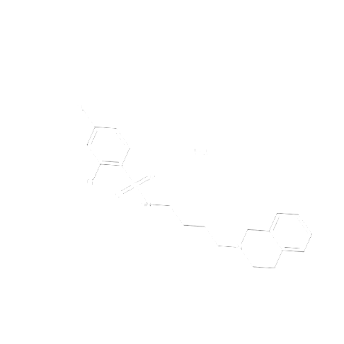 Cl.O=S(=O)(NCCCCN1CCc2ccccc2C1)c1ccc(Cl)cc1Cl